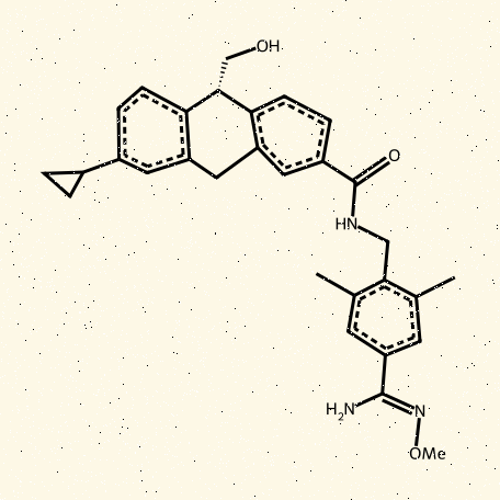 CON=C(N)c1cc(C)c(CNC(=O)c2ccc3c(c2)Cc2cc(C4CC4)ccc2[C@@H]3CO)c(C)c1